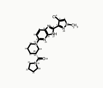 Cn1cc(Cl)c(-c2nc3ccc(N4CCC[C@@H](C(=O)N5CCCC5)C4)nc3[nH]2)n1